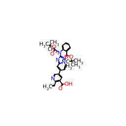 C=Cc1ncc(-c2ccn3nc(N(C(=O)OC(C)(C)C)c4ccccc4C(=O)OC(C)(C)C)nc3c2)cc1C(=O)O